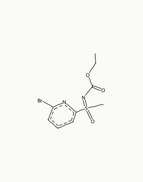 CCOC(=O)N=S(C)(=O)c1cccc(Br)n1